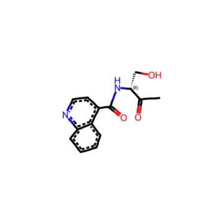 CC(=O)[C@@H](CO)NC(=O)c1ccnc2ccccc12